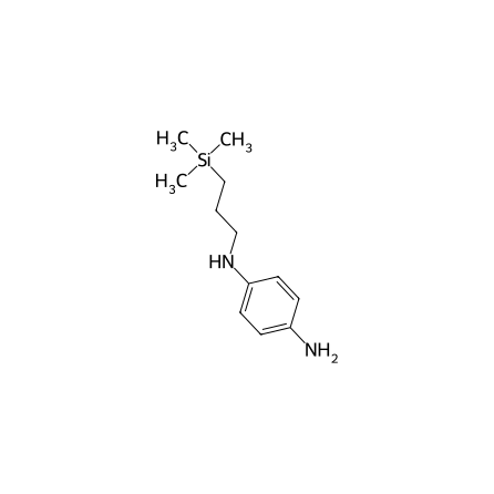 C[Si](C)(C)CCCNc1ccc(N)cc1